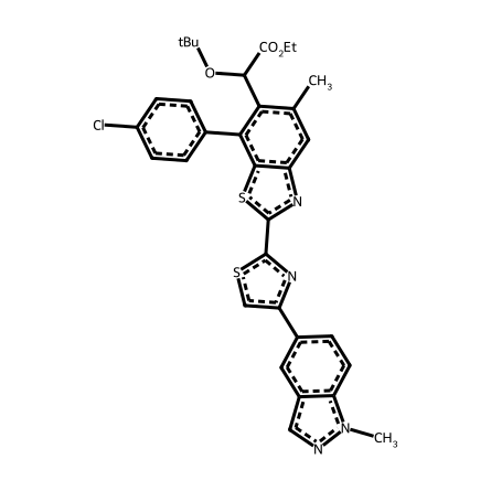 CCOC(=O)C(OC(C)(C)C)c1c(C)cc2nc(-c3nc(-c4ccc5c(cnn5C)c4)cs3)sc2c1-c1ccc(Cl)cc1